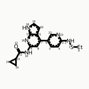 CCSNc1ccc(-c2cc(NC(=O)C3CC3)nc3[nH]ccc23)cn1